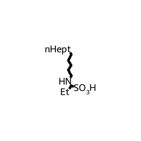 CCCCCCCCCCCCNC(CC)S(=O)(=O)O